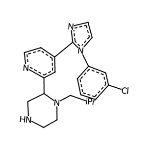 CC(C)CN1CCNCC1c1cc(-c2nccn2-c2cccc(Cl)c2)ccn1